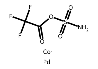 NS(=O)(=O)OC(=O)C(F)(F)F.[Co].[Pd]